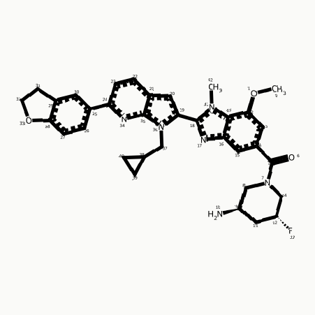 COc1cc(C(=O)N2C[C@H](N)C[C@@H](F)C2)cc2nc(-c3cc4ccc(-c5ccc6c(c5)CCO6)nc4n3CC3CC3)n(C)c12